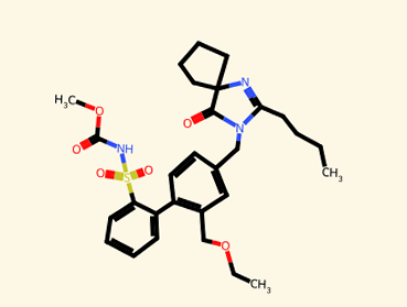 CCCCC1=NC2(CCCC2)C(=O)N1Cc1ccc(-c2ccccc2S(=O)(=O)NC(=O)OC)c(COCC)c1